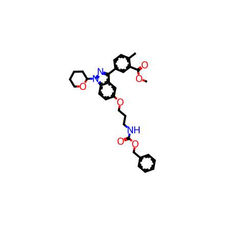 COC(=O)c1cc(-c2nn(C3CCCCO3)c3ccc(OCCCNC(=O)OCc4ccccc4)cc23)ccc1C